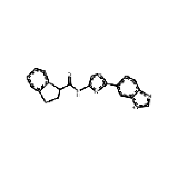 O=C(Nc1csc(-c2ccc3nc[nH]c3c2)n1)C1CCc2ccccc21